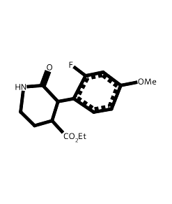 CCOC(=O)C1CCNC(=O)C1c1ccc(OC)cc1F